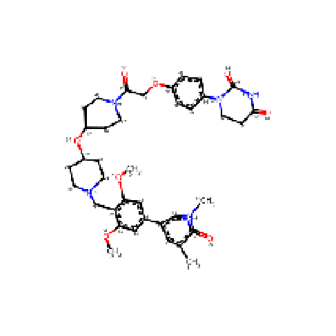 COc1cc(-c2cc(C)c(=O)n(C)c2)cc(OC)c1CN1CCC(OC2CCN(C(=O)COc3ccc(N4CCC(=O)NC4=O)cc3)CC2)CC1